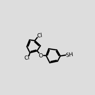 Sc1ccc(Oc2cc(Cl)ccc2Cl)cc1